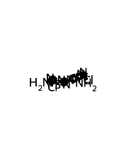 Nc1nccc(Sc2cnc(N3CCC4(CC3)Cn3ncc(Cl)c3[C@H]4N)cn2)c1Cl